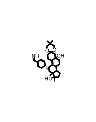 CC1(C)COC2(CCC3=C4C(CCC3(O)C2)C2CC[C@](C)(O)C2(C)C[C@@H]4C2C=CC(C=N)=CC2)OC1